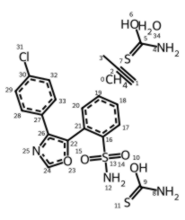 C.C#CC.NC(O)=S.NC(O)=S.NS(=O)(=O)c1ccccc1-c1ocnc1-c1ccc(Cl)cc1.O